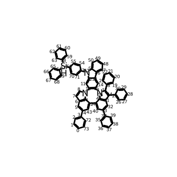 c1ccc(-c2cc3ccn4c5cc6c(cc5n5c(-c7ccccc7)c(-c7ccccc7)c7cc(-c8ccccc8)cc(c(c2)c34)c75)c2ccccc2n6-c2ccc([SiH](c3ccccc3)c3ccccc3)cc2)cc1